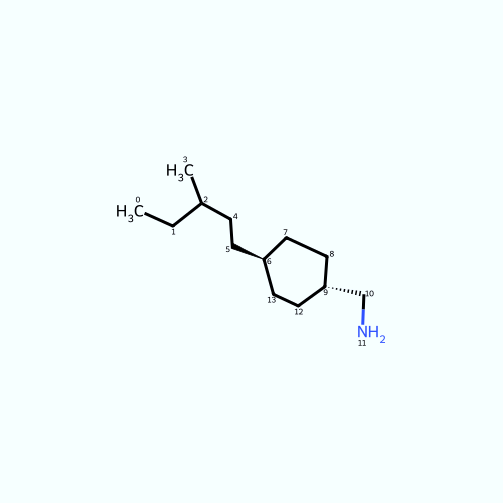 CCC(C)CC[C@H]1CC[C@H](CN)CC1